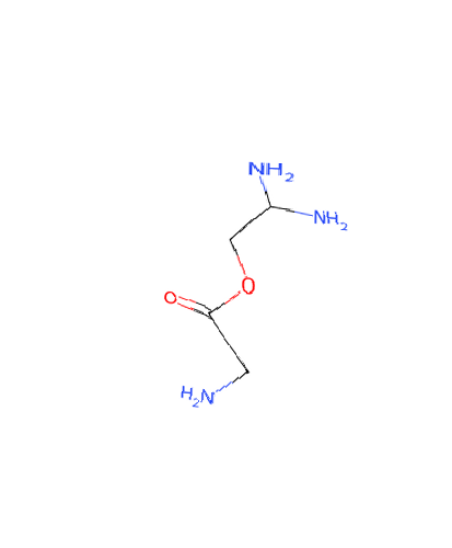 NCC(=O)OCC(N)N